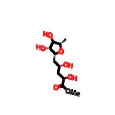 COC(=O)[C@H](O)C[C@@H](O)C[C@H]1O[C@@H](C)C(O)[C@H]1O